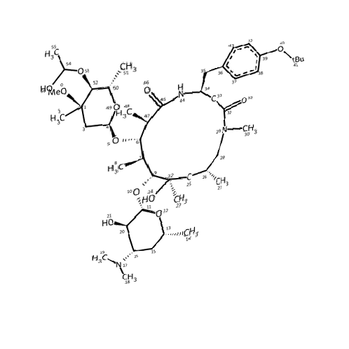 CO[C@]1(C)C[C@H](O[C@H]2[C@H](C)[C@@H](O[C@@H]3O[C@H](C)C[C@H](N(C)C)[C@H]3O)[C@](C)(O)C[C@@H](C)CN(C)C(=O)C[C@H](Cc3ccc(OC(C)(C)C)cc3)NC(=O)[C@@H]2C)O[C@@H](C)[C@@H]1OC(C)O